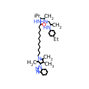 C=C(CNC(=C)C(NC(=O)CCCCCCCCCCCn1c(=C)c(C)c(-n2nnc3ccccc32)c1=C)C(C)C)Nc1ccc(CC)cc1